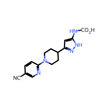 N#Cc1ccc(N2CCC(c3cc(NC(=O)O)[nH]n3)CC2)nc1